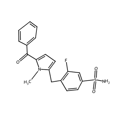 Cn1c(Cc2ccc(S(N)(=O)=O)cc2F)ccc1C(=O)c1ccccc1